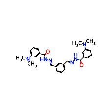 CN(C)c1cccc(C(=O)N/N=C/c2cccc(/C=N/NC(=O)c3cccc(N(C)C)c3)c2)c1